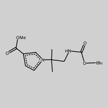 COC(=O)c1ccn(C(C)(C)CNC(=O)OC(C)(C)C)c1